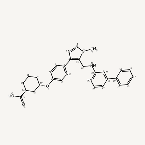 Cn1nnc(-c2ccc(O[C@H]3CCC[C@H](C(=O)O)C3)cn2)c1CNc1nccc(-c2ccccc2)n1